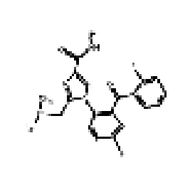 CC(C)NC(=O)c1nc(CN(C)C)n(-c2ccc(Cl)cc2C(=O)c2ccccc2F)n1